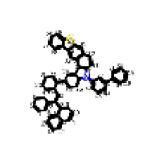 C(=C(/c1ccccc1)c1cccc2ccccc12)/c1ccccc1-c1ccc2c(c1)c1c3cc4c(cc3ccc1n2-c1cccc(-c2ccccc2)c1)sc1ccccc14